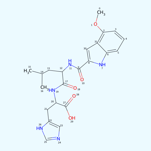 COc1cccc2[nH]c(C(=O)NC(CC(C)C)C(=O)NC(Cc3cnc[nH]3)C(=O)O)cc12